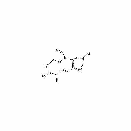 CCON(C=O)c1cc(Cl)ccc1/C=C/C(=O)OC